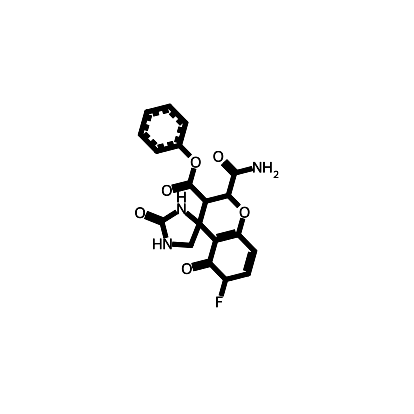 NC(=O)C1OC2=C(C(=O)C(F)C=C2)C2(CNC(=O)N2)C1C(=O)Oc1ccccc1